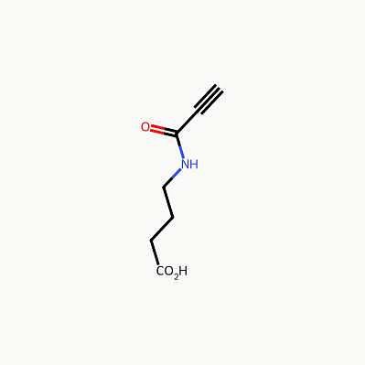 C#CC(=O)NCCCC(=O)O